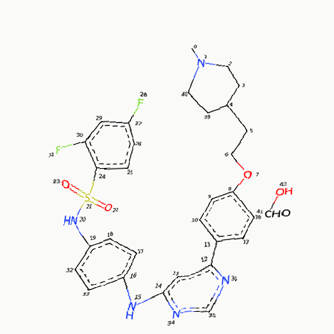 CN1CCC(CCOc2ccc(-c3cc(Nc4ccc(NS(=O)(=O)c5ccc(F)cc5F)cc4)ncn3)cc2)CC1.O=CO